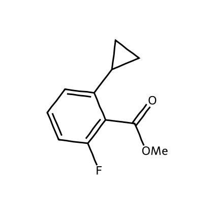 COC(=O)c1c(F)cccc1C1CC1